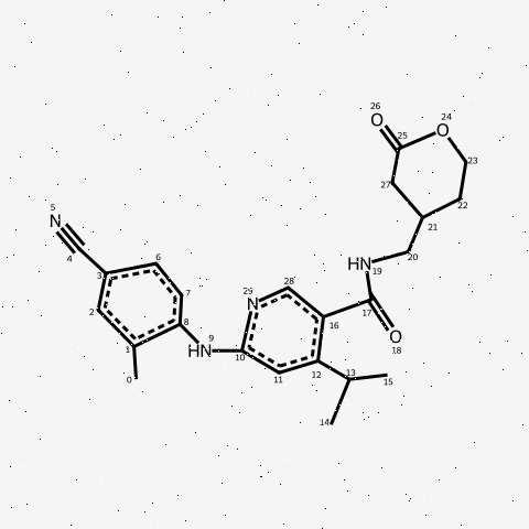 Cc1cc(C#N)ccc1Nc1cc(C(C)C)c(C(=O)NCC2CCOC(=O)C2)cn1